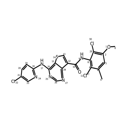 COc1cc(C)c(Cl)c(NC(=O)c2csc3c(Nc4ccc(Cl)cn4)ncnc23)c1Cl